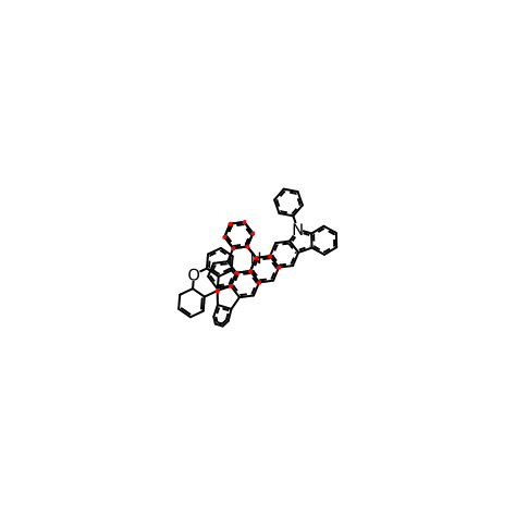 C1=CCC2Oc3ccccc3C3(C2=C1)c1ccccc1-c1ccc(N(c2ccc4c5ccccc5n(-c5ccccc5)c4c2)c2ccccc2-c2ccccc2-c2ccccc2-c2ccccc2)cc13